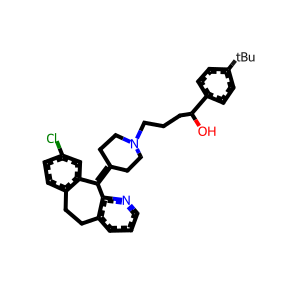 CC(C)(C)c1ccc(C(O)CCCN2CCC(=C3c4cc(Cl)ccc4CCc4cccnc43)CC2)cc1